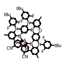 [C-]#[N+]c1ccc2sc3c(c2c1)Oc1cc(C)cc2c1B3c1cc3c(cc1N2c1c(F)cc(C(C)(C)C)cc1F)Oc1cc(C)cc2c1B3c1cc3c(cc1N2c1c(F)cc(C(C)(C)C)cc1F)N(c1c(F)cc(C(C)(C)C)cc1F)c1cc(C)cc2c1B3c1sc3ccc(C#N)cc3c1O2